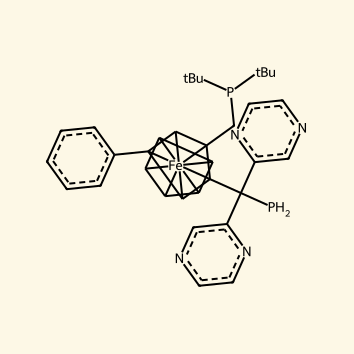 CC(C)(C)P(C[C]12[CH]3[C]4(c5ccccc5)[CH]5[C]1(C(P)(c1cnccn1)c1cnccn1)[Fe]35421678[CH]2[CH]1[CH]6[CH]7[CH]28)C(C)(C)C